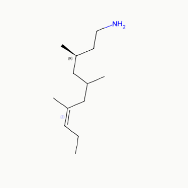 CC/C=C(/C)CC(C)C[C@@H](C)CCN